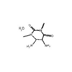 CN1C(=O)C(N)C(N)N(C)C1=O.O